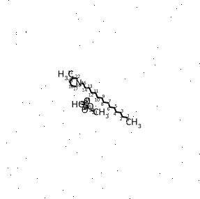 CCCCCCCCCCCCCCCCN1CCCC(C)C1.CCOS(=O)(=O)O